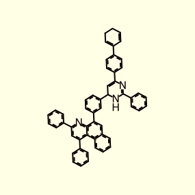 C1=CC(c2ccc(C3=CC(c4cccc(-c5cc6ccccc6c6c(-c7ccccc7)cc(-c7ccccc7)nc56)c4)NC(c4ccccc4)=N3)cc2)=CCC1